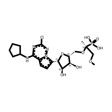 COC[C@@](C)(OC[C@H]1O[C@@H](c2ccc3c(NC4CCCC4)nc(Cl)nn23)[C@H](O)[C@@H]1O)P(=O)(O)O